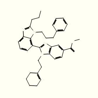 CCCc1nc2cccc(-c3nc4cc(C(=O)OC)ccc4n3CCC3=CCCCC3)c2n1CCCc1ccccc1